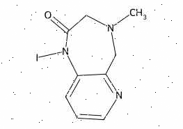 CN1CC(=O)N(I)c2cccnc2C1